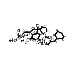 CNCC(CC1CCCCC1)NC(=O)N1CCCC(C(O)(CCCNC(=O)OC)c2cc(C)cc(C)c2)C1